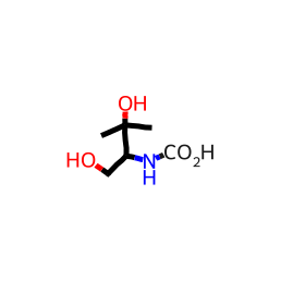 CC(C)(O)C(CO)NC(=O)O